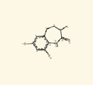 CC1CCc2cc(F)cc(F)c2NC1=O